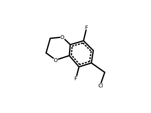 Fc1cc(CCl)c(F)c2c1OCCO2